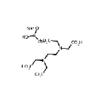 O=C(O)CN(CCN(CC(=O)O)CC(=O)O)CC(=O)O.[Na+].[O-]B(O)O